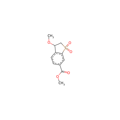 COC(=O)c1ccc2c(c1)S(=O)(=O)CC2OC